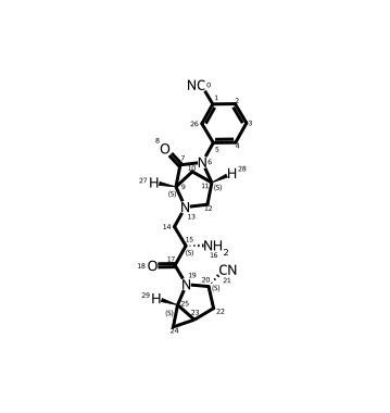 N#Cc1cccc(N2C(=O)[C@@H]3C[C@H]2CN3C[C@H](N)C(=O)N2[C@H](C#N)CC3C[C@@H]32)c1